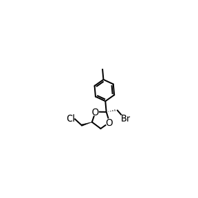 Cc1ccc([C@@]2(CBr)OC[C@@H](CCl)O2)cc1